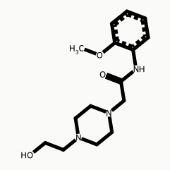 COc1ccccc1NC(=O)CN1CCN(CCO)CC1